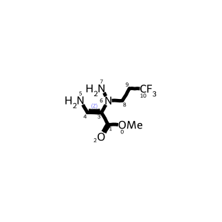 COC(=O)/C(=C/N)N(N)CCC(F)(F)F